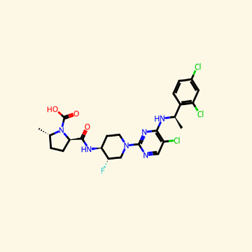 C[C@@H](Nc1nc(N2CC[C@H](NC(=O)[C@H]3CC[C@H](C)N3C(=O)O)[C@@H](F)C2)ncc1Cl)c1ccc(Cl)cc1Cl